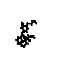 CCCc1ccc(COc2cccc3c2N(S(=O)(=O)CC)CCC3)cc1F